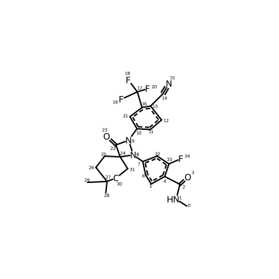 CNC(=O)c1ccc(N2N(c3ccc(C#N)c(C(F)(F)F)c3)C(=O)C23CCC(C)(C)CC3)cc1F